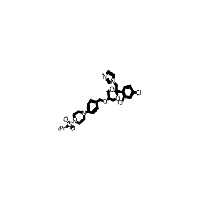 CC(C)S(=O)(=O)N1CCN(c2ccc(COC3COC(Cn4ccnc4)(c4ccc(Cl)cc4Cl)OC3)cc2)CC1